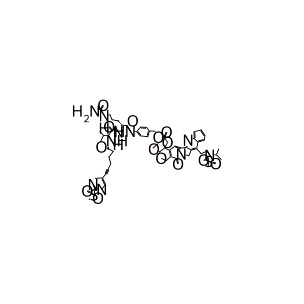 CC[C@@]1(OC(=O)OCc2ccc(NC(=O)[C@H](CCCNC(N)=O)NC(=O)[C@@H](NC(=O)CCCC#Cc3cnc(S(C)(=O)=O)nc3)C(C)C)cc2)C(=O)OCc2c1cc1n(c2=O)Cc2c-1nc1ccccc1c2CCN(C(C)C)S(C)(=O)=O